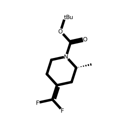 C[C@@H]1CC(=C(F)F)CCN1C(=O)OC(C)(C)C